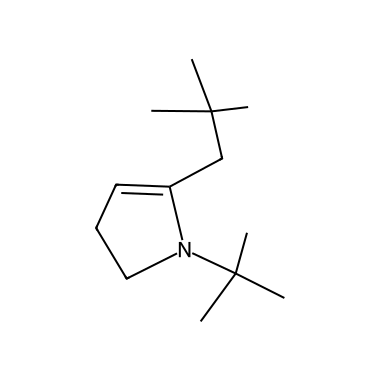 CC(C)(C)CC1=CCCN1C(C)(C)C